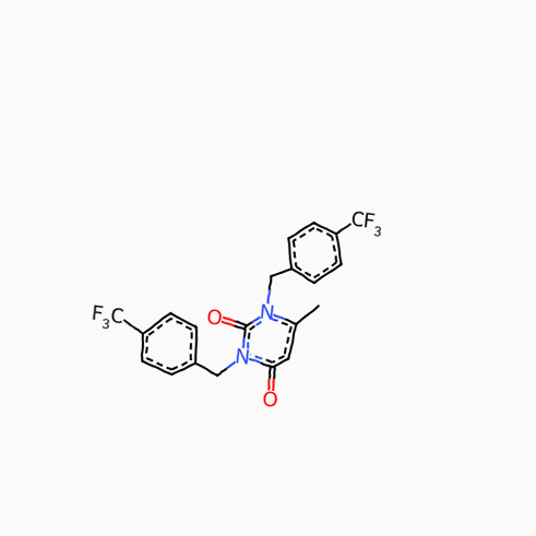 Cc1cc(=O)n(Cc2ccc(C(F)(F)F)cc2)c(=O)n1Cc1ccc(C(F)(F)F)cc1